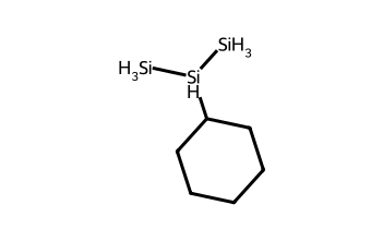 [SiH3][SiH]([SiH3])C1CCCCC1